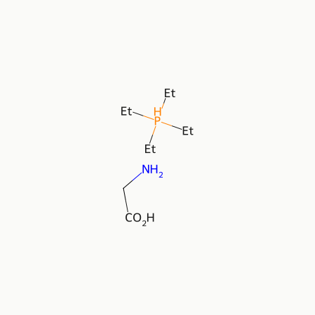 CC[PH](CC)(CC)CC.NCC(=O)O